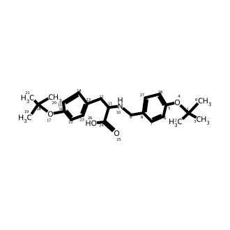 CC(C)(C)Oc1ccc(CNC(Cc2ccc(OC(C)(C)C)cc2)C(=O)O)cc1